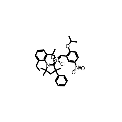 CCc1cccc(CC)c1N1[C](=[Ru]([Cl])([Cl])=[CH]c2cc([N+](=O)[O-])ccc2OC(C)C)C(C)(c2ccccc2)CC1(C)C